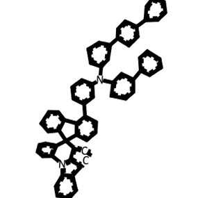 c1ccc(-c2ccc(-c3cccc(N(c4cccc(-c5ccccc5)c4)c4cccc(-c5cccc6c5-c5ccccc5C65c6ccccc6-n6c7ccccc7c7cccc5c76)c4)c3)cc2)cc1